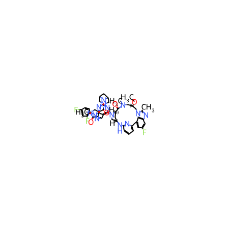 CO[C@H]1CN(C)C(=O)[C@@H]2C[C@@H](CN2c2nc(N3C4CC3CN(C(=O)C3CC(=O)N(C)C3)C4)nc3c2cnn3-c2ccc(F)cc2F)Nc2cccc(n2)-c2cc(F)cc3nc(C)n(c23)C1